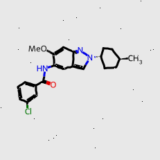 COc1cc2nn([C@H]3CC[C@H](C)CC3)cc2cc1NC(=O)c1cccc(Cl)c1